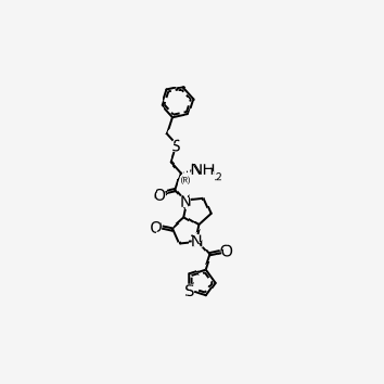 N[C@@H](CSCc1ccccc1)C(=O)N1CCC2C1C(=O)CN2C(=O)c1ccsc1